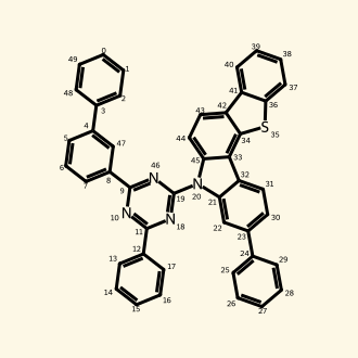 c1ccc(-c2cccc(-c3nc(-c4ccccc4)nc(-n4c5cc(-c6ccccc6)ccc5c5c6sc7ccccc7c6ccc54)n3)c2)cc1